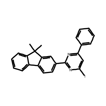 CC1(C)c2ccccc2-c2ccc(-c3nc(I)cc(-c4ccccc4)n3)cc21